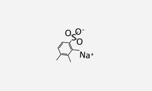 Cc1ccc(S(=O)(=O)[O-])c(C)c1C.[Na+]